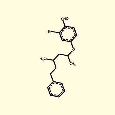 CC(CC(C)Oc1ccc(C=O)c(Br)c1)OCc1ccccc1